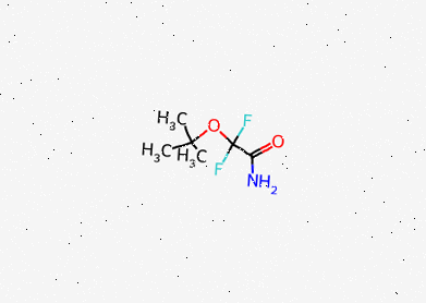 CC(C)(C)OC(F)(F)C(N)=O